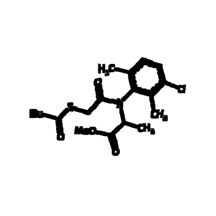 CCC(C)C(=O)SCC(=O)N(c1c(C)ccc(Cl)c1C)C(C)C(=O)OC